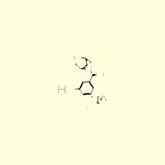 O=C(c1cc(O)cc([N+](=O)[O-])c1)N1CC2CC1CO2